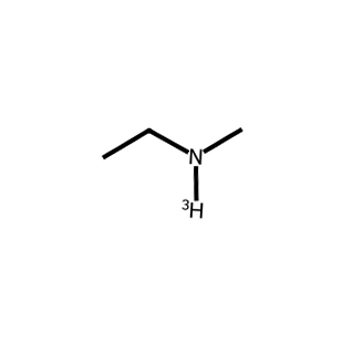 [3H]N(C)CC